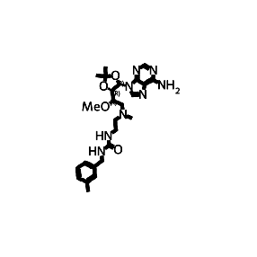 CO[C@H](CN(C)CCNC(=O)NCc1cccc(C)c1)[C@H]1OC(C)(C)O[C@H]1n1cnc2c(N)ncnc21